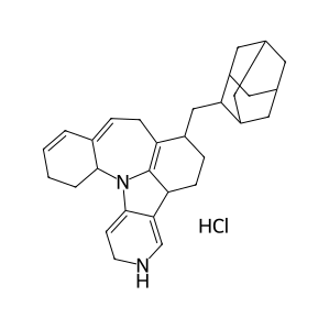 C1=CC2=CCC3=C4C(CCC3CC3C5CC6CC(C5)CC3C6)C3=CNCC=C3N4C2CC1.Cl